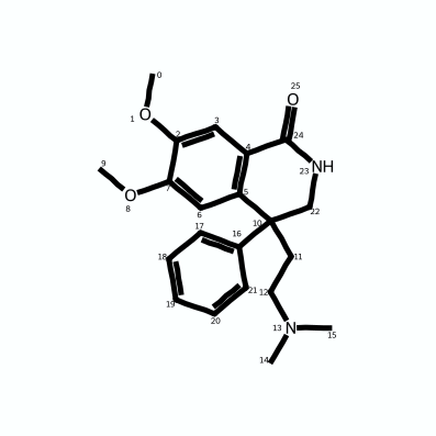 COc1cc2c(cc1OC)C(CCN(C)C)(c1ccccc1)CNC2=O